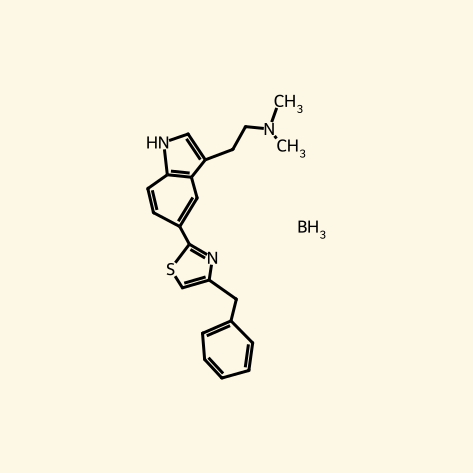 B.CN(C)CCc1c[nH]c2ccc(-c3nc(Cc4ccccc4)cs3)cc12